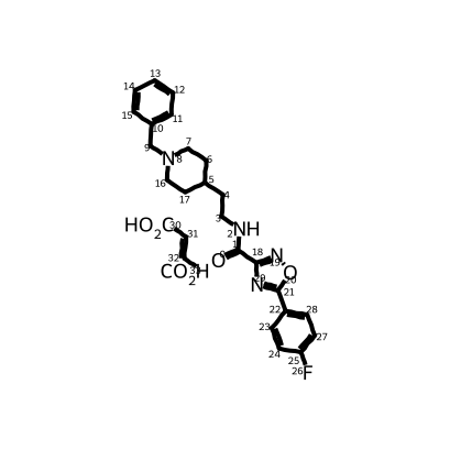 O=C(NCCC1CCN(Cc2ccccc2)CC1)c1noc(-c2ccc(F)cc2)n1.O=C(O)C=CC(=O)O